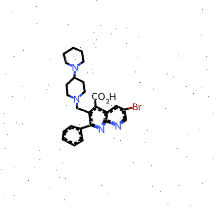 O=C(O)c1c(CN2CCC(N3CCCCC3)CC2)c(-c2ccccc2)nc2ncc(Br)cc12